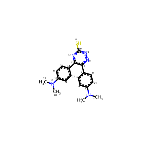 CN(C)c1ccc(-c2nnc(S)nc2-c2ccc(N(C)C)cc2)cc1